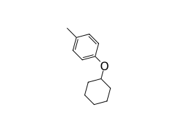 Cc1ccc(OC2CCCCC2)cc1